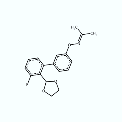 CC(C)=NOc1[c]ccc(-c2cccc(F)c2C2OCCO2)c1